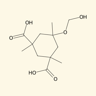 CC1(OCO)CC(C)(C(=O)O)CC(C)(C(=O)O)C1